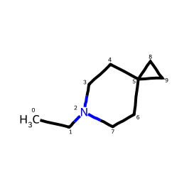 CCN1CCC2(CC1)CC2